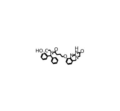 O=C(O)CN(C(=O)CCCOc1cccc2c1N=C1NC(=O)CN1C2)C(c1ccccc1)c1ccccc1